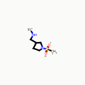 CCNCC1CCN(S(C)(=O)=O)C1